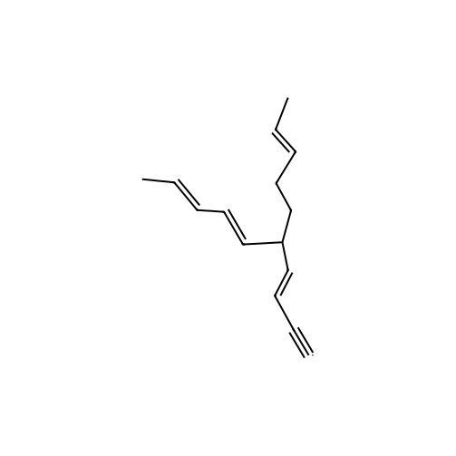 [C]#C/C=C/C(/C=C/C=C/C)CC/C=C/C